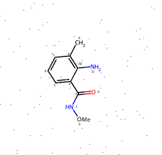 CONC(=O)c1cccc(C)c1N